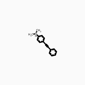 C[SiH](C)c1ccc(C#Cc2ccccc2)cc1